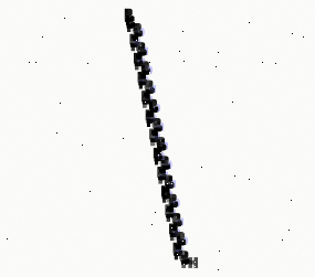 P#P=P\P=P/P=P\P=P/P=P\P=P/P=P\P=P/P=P\P=P/P=P\P=P/P=P\P=P/P=P\P=P/P=P\P=P/P=P\P=P/P=P\P=P/P=P\P=P/P=P\P=P